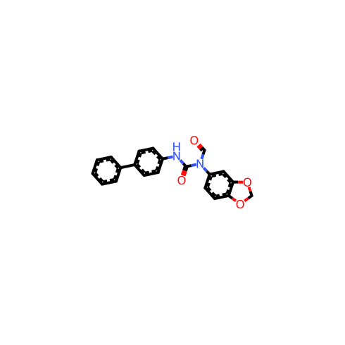 O=CN(C(=O)Nc1ccc(-c2ccccc2)cc1)c1ccc2c(c1)OCO2